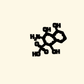 Nc1c(S(=O)(=O)O)c(O)c2cccc(O)c2c1O